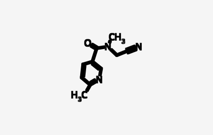 Cc1ccc(C(=O)N(C)CC#N)cn1